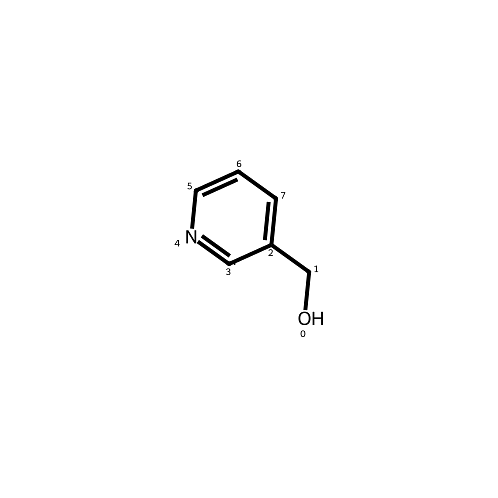 OCc1[c]nccc1